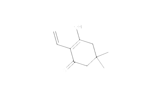 C=CC1=C(O)CC(C)(C)CC1=O